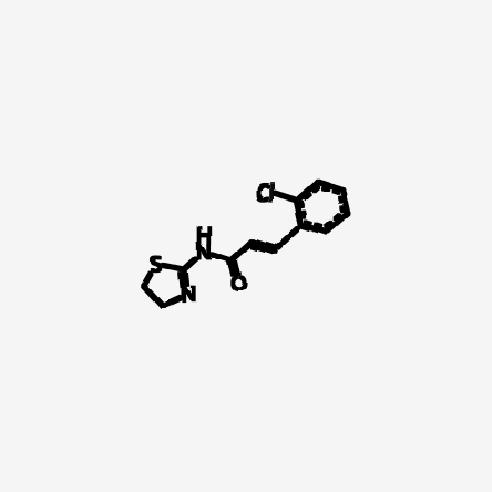 O=C(/C=C/c1ccccc1Cl)NC1=NCCS1